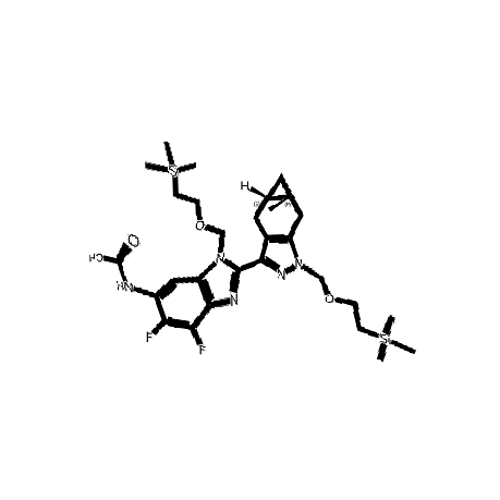 C[C@@]12Cc3c(c(-c4nc5c(F)c(F)c(NC(=O)O)cc5n4COCC[Si](C)(C)C)nn3COCC[Si](C)(C)C)C[C@@H]1C2